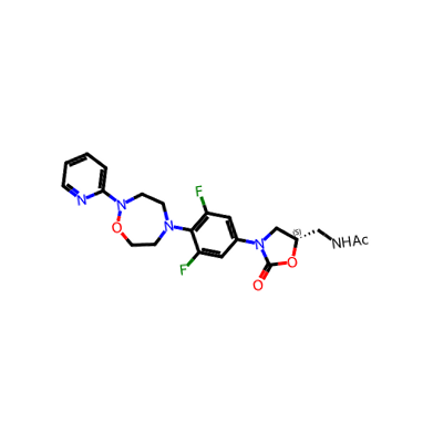 CC(=O)NC[C@H]1CN(c2cc(F)c(N3CCON(c4ccccn4)CC3)c(F)c2)C(=O)O1